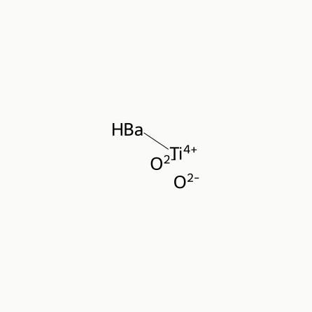 [O-2].[O-2].[Ti+4][BaH]